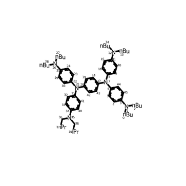 CCCCN(CCCC)c1ccc(N(c2ccc(N(CCCC)CCCC)cc2)c2ccc(N(c3ccc(N(CCCC)CCCC)cc3)c3ccc(N(CC(C)C)CC(C)C)cc3)cc2)cc1